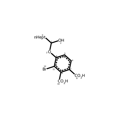 CCCCCCCC(O)Oc1ccc(C(=O)O)c(C(=O)O)c1Br